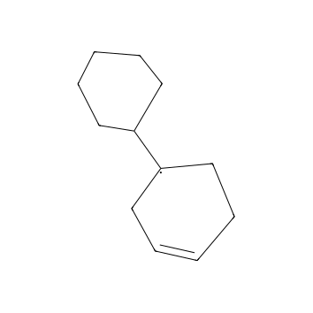 C1=CC[C](C2CCCCC2)CC1